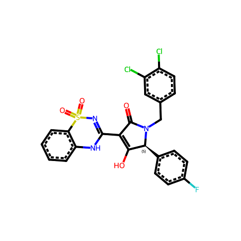 O=C1C(C2=NS(=O)(=O)c3ccccc3N2)=C(O)[C@H](c2ccc(F)cc2)N1Cc1ccc(Cl)c(Cl)c1